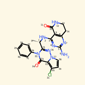 C[C@H](Nc1nc(N)nc2c1C(=O)NCC2)c1nn2ccc(Cl)c2c(=O)n1-c1ccccc1